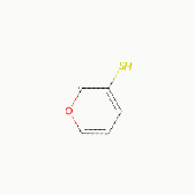 SC1=CC=CO[CH]1